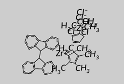 CC1=C(C)C(C)(C)[C]([Zr+2])=C1C.[CH3][Zr]([CH3])([CH3])([CH3])([Cl])([Cl])[C]1=CC=CC1.[Cl-].[Cl-].c1ccc2c(c1)-c1ccccc1C2C1c2ccccc2-c2ccccc21